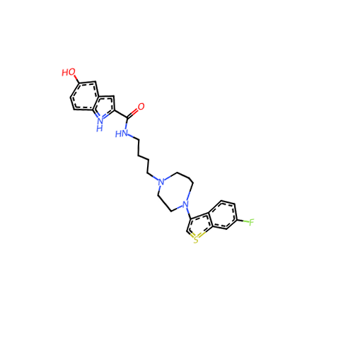 O=C(NCCCCN1CCCN(c2csc3cc(F)ccc23)CC1)c1cc2cc(O)ccc2[nH]1